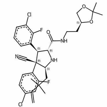 C=CC(C)(C)C[C@@H]1N[C@@H](C(=O)NCC[C@H]2COC(C)(C)O2)[C@H](c2cccc(Cl)c2F)[C@@]1(C#N)c1ccc(Cl)cc1F